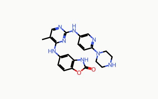 Cc1cnc(Nc2ccc(N3CCNCC3)nc2)nc1Nc1ccc2oc(=O)[nH]c2c1